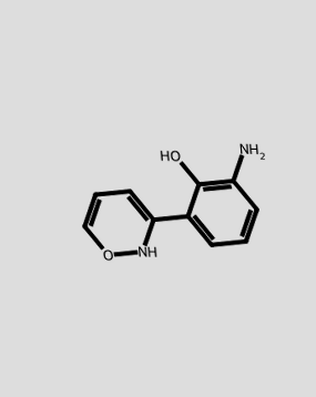 Nc1cccc(C2=CC=CON2)c1O